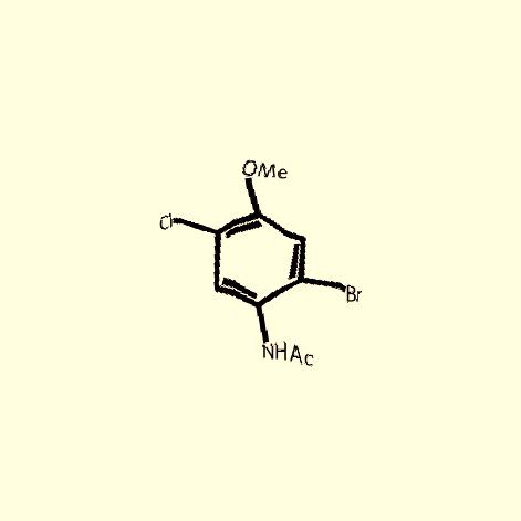 COc1cc(Br)c(NC(C)=O)cc1Cl